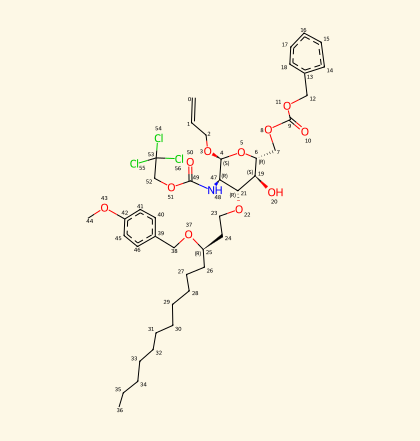 C=CCO[C@H]1O[C@H](COC(=O)OCc2ccccc2)[C@@H](O)[C@H](OCC[C@@H](CCCCCCCCCCC)OCc2ccc(OC)cc2)[C@H]1NC(=O)OCC(Cl)(Cl)Cl